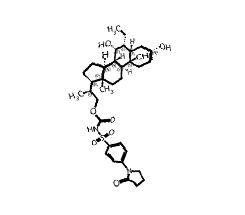 CC[C@H]1[C@@H](O)[C@@H]2[C@H](CC[C@]3(C)[C@@H]([C@H](C)COC(=O)NS(=O)(=O)c4ccc(N5CCCC5=O)cc4)CC[C@@H]23)[C@@]2(C)CC[C@@H](O)C[C@@H]12